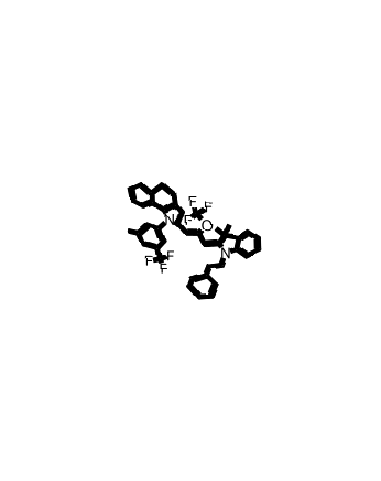 Cc1cc([N+]2=C(/C=C(/C=C3/N(CCc4ccccc4)c4ccccc4C3(C)C)OC(F)(F)F)Cc3ccc4ccccc4c32)cc(C(F)(F)F)c1